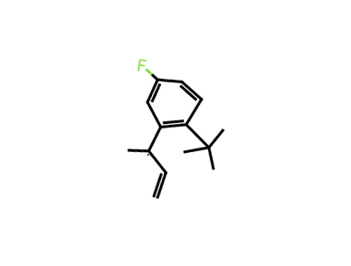 C=C[C](C)c1cc(F)ccc1C(C)(C)C